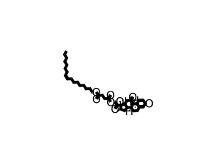 CCCCCCC/C=C\CCCCCCCCOC(=O)CCC(=O)OCC(=O)[C@@]1(O)[C@H](C)CC2[C@@H]3CCC4=CC(=O)C=C[C@]4(C)[C@H]3C(=O)C[C@@]21C